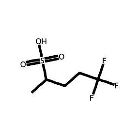 CC(CCC(F)(F)F)S(=O)(=O)O